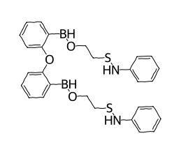 B(OCCSNc1ccccc1)c1ccccc1Oc1ccccc1BOCCSNc1ccccc1